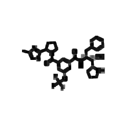 Cc1csc(C2CCCN2C(=O)c2cc(OC(F)(F)F)cc(C(=O)N[C@@H](Cc3ccccc3)[C@H](O)C3CCCN3)c2)n1